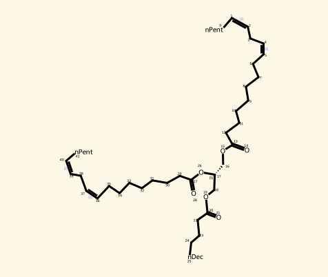 CCCCC/C=C\C/C=C\CCCCCCCC(=O)OC[C@H](COC(=O)CCCCCCCCCCCCC)OC(=O)CCCCCCC/C=C\C/C=C\CCCCC